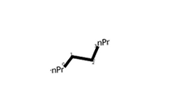 CC[CH]C[CH]CCC